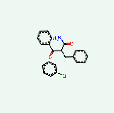 Clc1ccccc1.NC(=O)C(Cc1ccccc1)C(=O)c1ccccc1